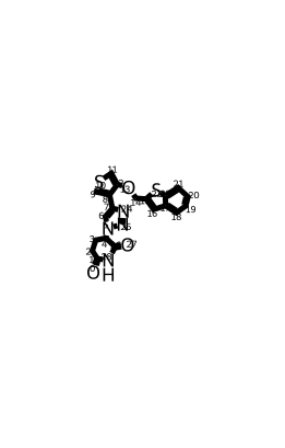 O=C1CCC(n2cc(-c3cscc3OCc3cc4ccccc4s3)nn2)C(=O)N1